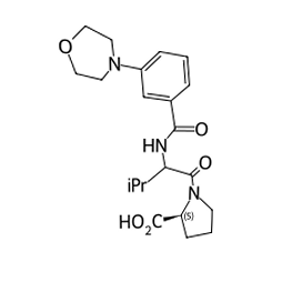 CC(C)C(NC(=O)c1cccc(N2CCOCC2)c1)C(=O)N1CCC[C@H]1C(=O)O